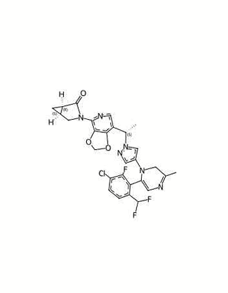 CC1=NC=C(c2c(C(F)F)ccc(Cl)c2F)N(c2cnn([C@@H](C)c3cnc(N4C[C@H]5C[C@H]5C4=O)c4c3OCO4)c2)C1